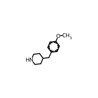 COc1ccc(CC2CCNCC2)cc1